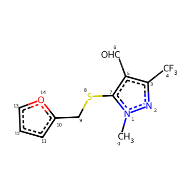 Cn1nc(C(F)(F)F)c(C=O)c1SCc1ccco1